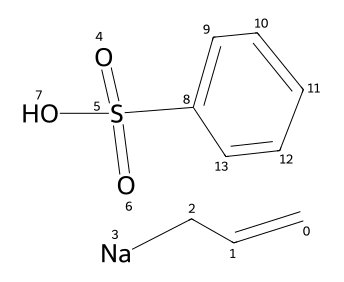 C=C[CH2][Na].O=S(=O)(O)c1ccccc1